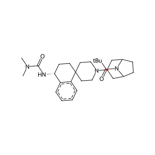 CN(C)C(=O)N[C@@H]1CCC2(CCN(C3CC4CCC(C3)N4C(=O)C(C)(C)C)CC2)c2ccccc21